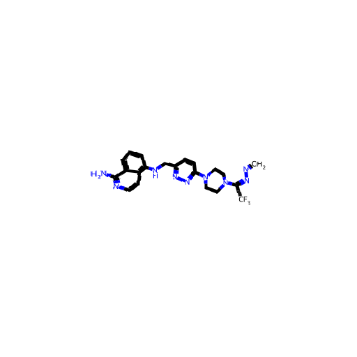 C=N/N=C(\N1CCN(c2ccc(CNc3cccc4c(N)nccc34)nn2)CC1)C(F)(F)F